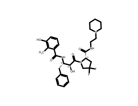 Cc1c(O)cccc1C(=O)N[C@@H](Cc1ccccc1)[C@H](O)C(=O)N1CC(F)(F)C[C@H]1C(=O)NCCN1CCCCC1